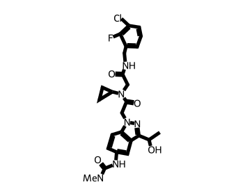 CNC(=O)Nc1ccc2c(c1)c(C(C)O)nn2CC(=O)N(CC(=O)NCc1cccc(Cl)c1F)C1CC1